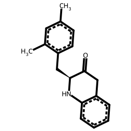 Cc1ccc(C[C@@H]2Nc3ccccc3CC2=O)c(C)c1